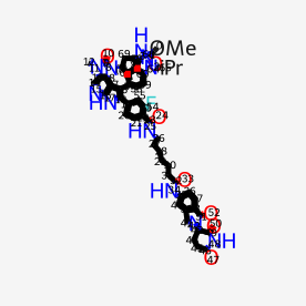 COC(=O)N[C@@H]1CC[C@@H](n2c(=O)n(C)c3cnc4[nH]c(-c5ccc(C(=O)NCCCCCCC(=O)Nc6ccc7c(c6)CN(C6CCC(=O)NC6=O)C7=O)c(F)c5)c(-c5ccc6c(cnn6C(C)C)c5)c4c32)C1